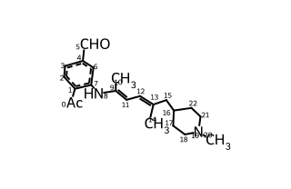 CC(=O)c1ccc(C=O)cc1N/C(C)=C/C=C(\C)CC1CCN(C)CC1